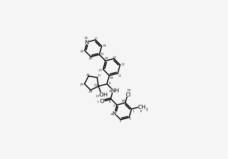 Cc1ccnc(C(=O)NC(c2cccc(-c3ccncc3)c2)C2(O)CCCC2)c1Cl